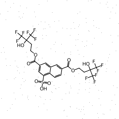 O=C(OCCC(O)(C(F)(F)F)C(F)(F)F)c1ccc2c(S(=O)(=O)O)cc(C(=O)OCCC(O)(C(F)(F)F)C(F)(F)F)cc2c1